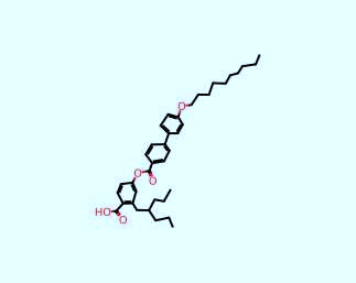 CCCCCCCCCCOc1ccc(-c2ccc(C(=O)Oc3ccc(C(=O)O)c(CC(CCC)CCC)c3)cc2)cc1